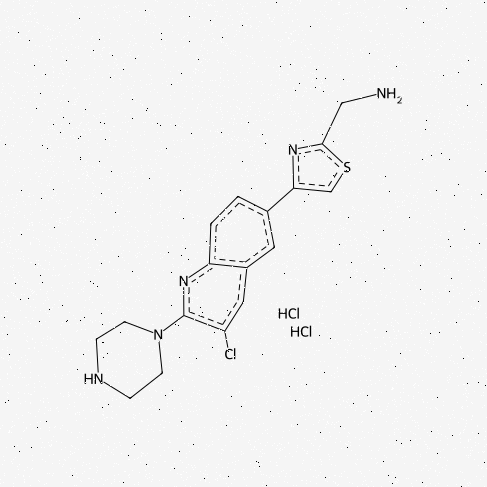 Cl.Cl.NCc1nc(-c2ccc3nc(N4CCNCC4)c(Cl)cc3c2)cs1